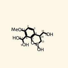 COc1ccc2c(c1C(O)O)OB(O)CC2CO